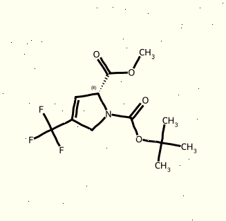 COC(=O)[C@H]1C=C(C(F)(F)F)CN1C(=O)OC(C)(C)C